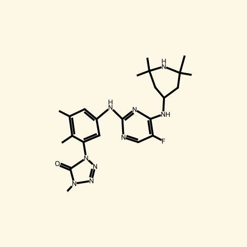 Cc1cc(Nc2ncc(F)c(NC3CC(C)(C)NC(C)(C)C3)n2)cc(-n2nnn(C)c2=O)c1C